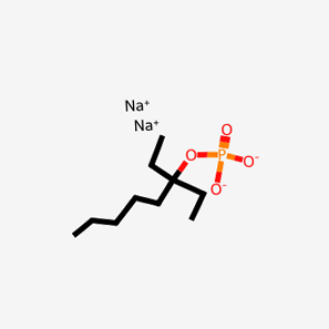 CCCCCC(CC)(CC)OP(=O)([O-])[O-].[Na+].[Na+]